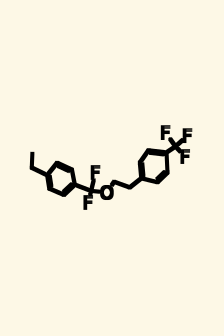 CCc1ccc(C(F)(F)OCCc2ccc(C(F)(F)F)cc2)cc1